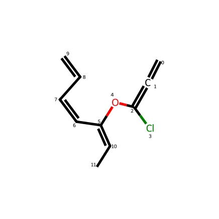 C=C=C(Cl)OC(/C=C\C=C)=C/C